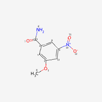 COc1cc(C(N)=O)cc([N+](=O)[O-])c1